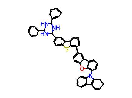 C1=Cc2c(n(-c3cccc4c3oc3ccc(-c5cccc6c5sc5ccc(C7NC(c8ccccc8)NC(c8ccccc8)N7)cc56)cc34)c3ccccc23)CC1